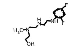 CN(CCO)CCNCCNc1ccc(F)cc1F